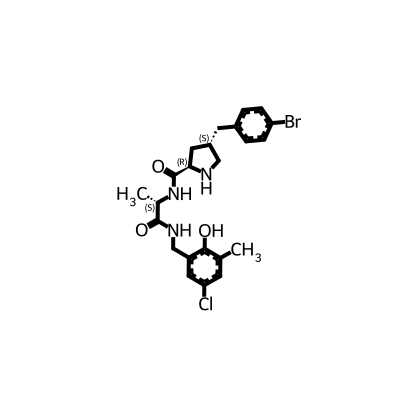 Cc1cc(Cl)cc(CNC(=O)[C@H](C)NC(=O)[C@H]2C[C@H](Cc3ccc(Br)cc3)CN2)c1O